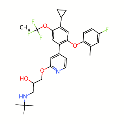 C.Cc1cc(F)ccc1Oc1cc(C2CC2)c(OC(F)(F)F)cc1-c1ccnc(OCC(O)CNC(C)(C)C)c1